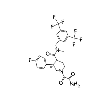 CN(Cc1cc(C(F)(F)F)cc(C(F)(F)F)c1)C(=O)C1CCN(C(=O)C(N)=O)C[C@H]1c1ccc(F)cc1